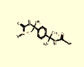 CC(C)OC(=O)NC(C)(C)c1ccc(C(C)(C)NC(=O)C(C)C)cc1